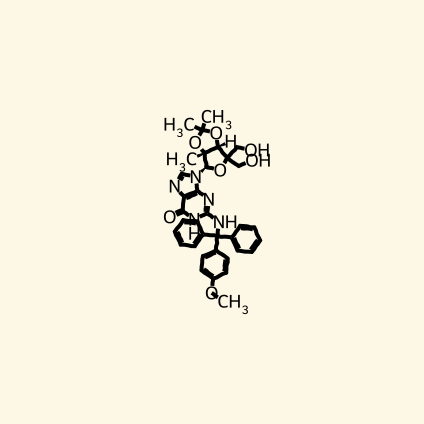 COc1ccc(C(Nc2nc3c(ncn3[C@@H]3OC(CO)(CO)[C@H]4OC(C)(C)O[C@]43C)c(=O)[nH]2)(c2ccccc2)c2ccccc2)cc1